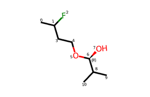 CC(F)CCO[C@@H](O)C(C)C